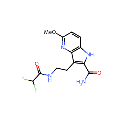 COc1ccc2[nH]c(C(N)=O)c(CCNC(=O)C(F)F)c2n1